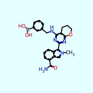 Cn1cc2c(C(N)=O)cccc2c1-c1nc(NCc2cccc(B(O)O)c2)c2c(n1)OCCC2